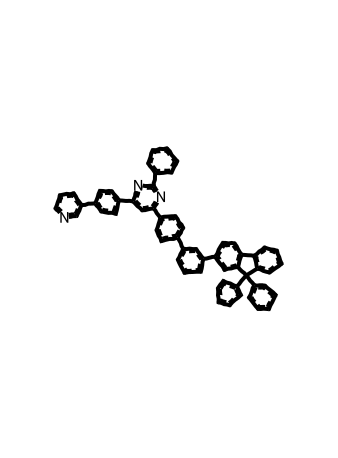 c1ccc(-c2nc(-c3ccc(-c4cccnc4)cc3)cc(-c3ccc(-c4cccc(-c5ccc6c(c5)C(c5ccccc5)(c5ccccc5)c5ccccc5-6)c4)cc3)n2)cc1